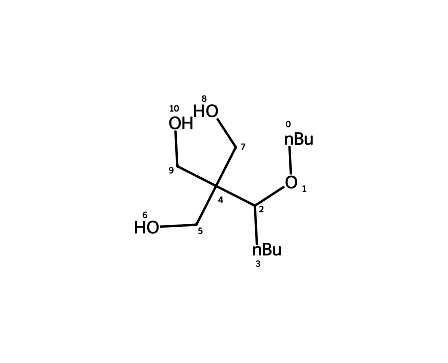 CCCCOC(CCCC)C(CO)(CO)CO